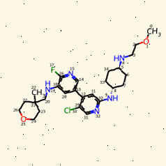 COCCN[C@H]1CC[C@H](Nc2cc(-c3cnc(F)c(NCC4(C)CCOCC4)c3)c(Cl)cn2)CC1